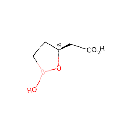 O=C(O)C[C@@H]1CCB(O)O1